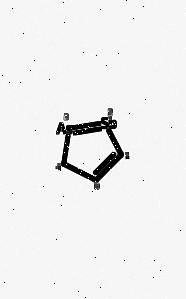 C1=[CH][Sb]=[As]C1